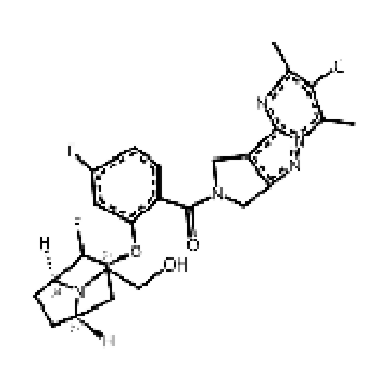 Cc1nc2c3c(nn2c(C)c1Cl)CN(C(=O)c1ccc(F)cc1O[C@H]1C[C@@H]2CC[C@@H](C1F)N2CCO)C3